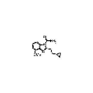 COc1cccc2c1nc(CCC1CC1)n2C(N)=O